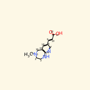 CN1CCNc2ncc(/C=C/C(=O)O)cc2C1